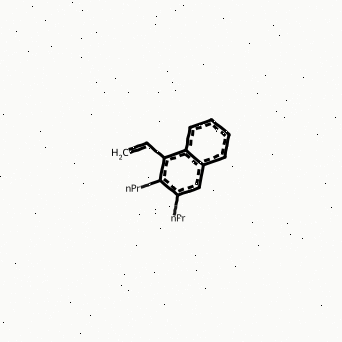 C=Cc1c(CCC)c(CCC)cc2ccccc12